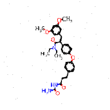 CCN(CC)C(=O)C(=Cc1cc(OC)cc(OC)c1)c1ccc(Oc2ccc(CCC(=O)NC(N)=O)cc2)cc1